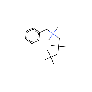 CC(C)(C)CC(C)(C)C[N+](C)(C)Cc1ccccc1